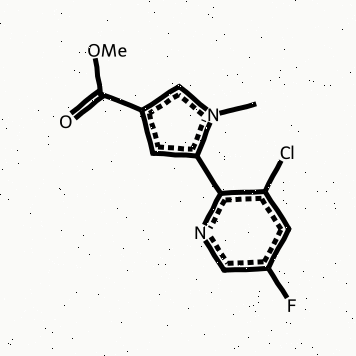 COC(=O)c1cc(-c2ncc(F)cc2Cl)n(C)c1